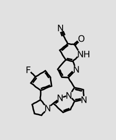 N#Cc1cc2ccc(-c3cnc4ccc(N5CCCC5c5cccc(F)c5)nn34)nc2[nH]c1=O